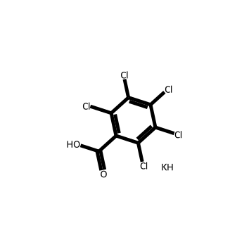 O=C(O)c1c(Cl)c(Cl)c(Cl)c(Cl)c1Cl.[KH]